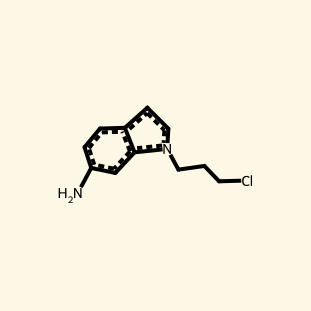 Nc1ccc2ccn(CCCCl)c2c1